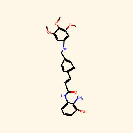 COc1cc(NCc2ccc(/C=C/C(=O)Nc3cccc(O)c3N)cc2)cc(OC)c1OC